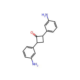 Nc1cccc(C2CC(c3cccc(N)c3)C2=O)c1